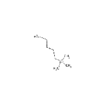 [CH2]CCCCCC[CH2][Ge]([CH3])([CH3])[CH3]